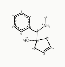 CNC(c1ccccc1)C1(O)CC=CC1